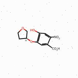 O=C(O)c1cc(O[C@H]2CCOC2)c(O)cc1[N+](=O)[O-]